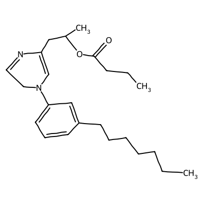 CCCCCCCc1cccc(N2C=C(CC(C)OC(=O)CCC)N=CC2)c1